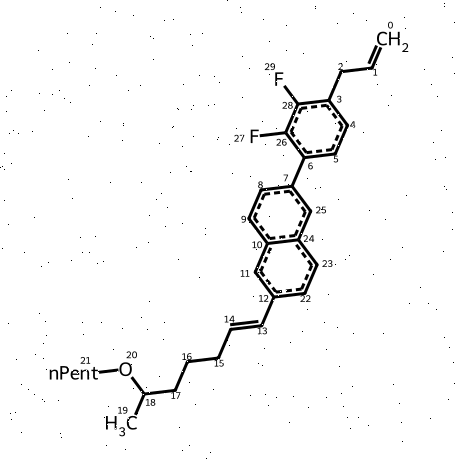 C=CCc1ccc(-c2ccc3cc(C=CCCCC(C)OCCCCC)ccc3c2)c(F)c1F